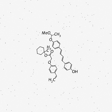 C=Cc1ccc(OCC(=O)OC2(C)CCCCC2)cc1.COC(C)Oc1ccc(C=CC=Cc2ccc(O)cc2)cc1